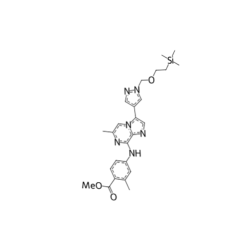 COC(=O)c1ccc(Nc2nc(C)cn3c(-c4cnn(COCC[Si](C)(C)C)c4)cnc23)cc1C